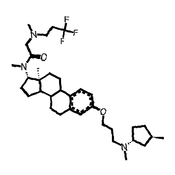 C[C@@H]1CC[C@@H](N(C)CCCOc2ccc3c(c2)CCC2C3CC[C@@]3(C)C2CC[C@@H]3N(C)C(=O)CN(C)CCC(F)(F)F)C1